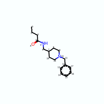 CCCC(=O)NCC1CCN(Cc2ccccc2)CC1